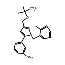 COc1cccc(-c2cc(COC(C)(C)C(=O)O)nn2Cc2ccccc2C)c1